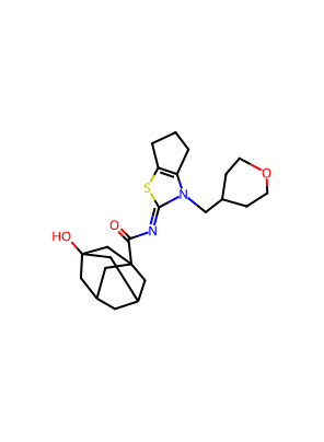 O=C(/N=c1\sc2c(n1CC1CCOCC1)CCC2)C12CC3CC(CC(O)(C3)C1)C2